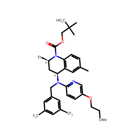 CC[C@@H]1C[C@H](N(Cc2cc(C(F)(F)F)cc(C(F)(F)F)c2)c2ccc(OCCOC)cn2)c2cc(C)ccc2N1C(=O)OCC(C)(C)C(=O)O